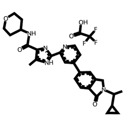 Cc1[nH]c(-c2cc(-c3ccc4c(c3)CN(C(C)C3CC3)C4=O)ccn2)nc1C(=O)NC1CCOCC1.O=C(O)C(F)(F)F